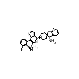 Cc1nc(N2CCC3(CC2)Cc2ncccc2[C@H]3N)c2ccnn2c1-c1cccc(F)c1C#N